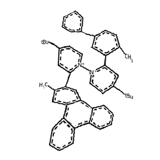 Cc1ccc(-c2ccccc2)cc1-c1cc(C(C)(C)C)cc[n+]1-[n+]1ccc(C(C)(C)C)cc1-c1cc2c3ccccc3c3ccccc3c2cc1C